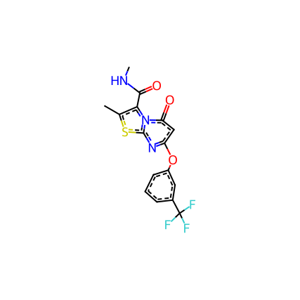 CNC(=O)c1c(C)sc2nc(Oc3cccc(C(F)(F)F)c3)cc(=O)n12